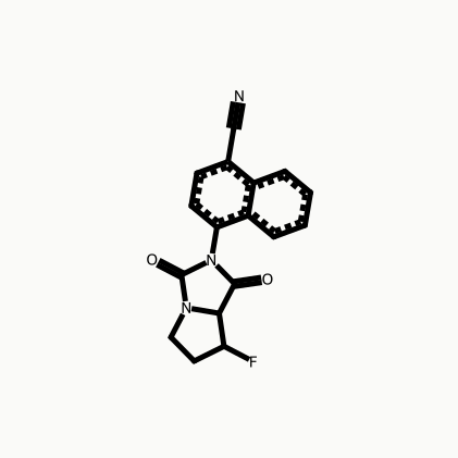 N#Cc1ccc(N2C(=O)C3C(F)CCN3C2=O)c2ccccc12